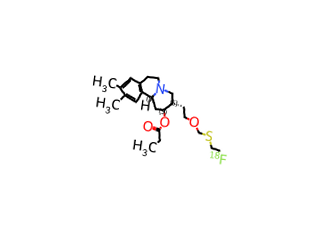 CCC(=O)O[C@H]1C[C@H]2c3cc(C)c(C)cc3CCN2C[C@@H]1CCOCSCC[18F]